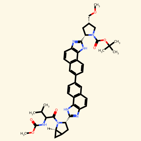 COC[C@H]1C[C@@H](c2nc3ccc4cc(-c5ccc6c(ccc7nc([C@@H]8CC9C[C@H]9N8C(=O)C(NC(=O)OC)C(C)C)[nH]c76)c5)ccc4c3[nH]2)N(C(=O)OC(C)(C)C)C1